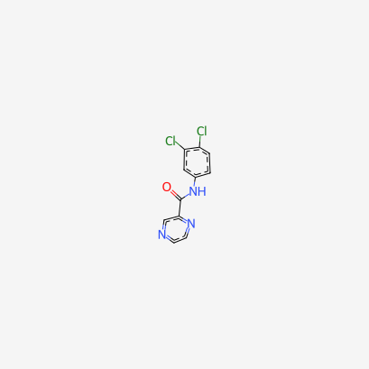 O=C(Nc1ccc(Cl)c(Cl)c1)c1cnccn1